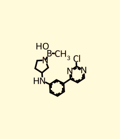 CB(O)N1CCC(Nc2cccc(-c3ccnc(Cl)n3)c2)C1